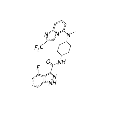 CN(c1cccc2nc(C(F)(F)F)cn12)[C@H]1CC[C@@H](NC(=O)c2n[nH]c3cccc(F)c23)CC1